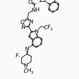 CN1CC/C(=N\c2cccc3c2cc(-c2noc(CNC(=O)[C@@H]4C[C@H]4c4ccccc4F)n2)n3CC(F)(F)F)[C@@H](F)C1